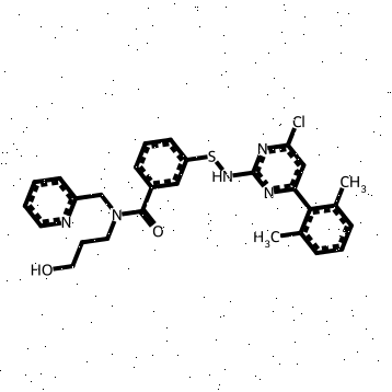 Cc1cccc(C)c1-c1cc(Cl)nc(NSc2cccc(C(=O)N(CCCO)Cc3ccccn3)c2)n1